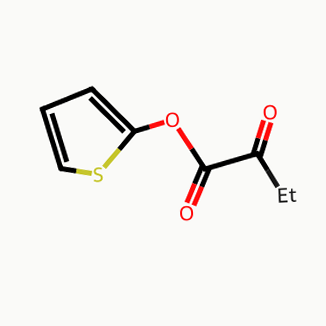 CCC(=O)C(=O)Oc1cccs1